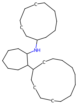 C1CCCCCCC(C2CCCCCC2NC2CCCCCCCCCC2)CCCCC1